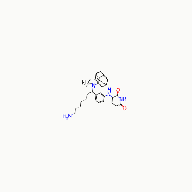 CN(C(CCCCCCN)c1cccc(NC2CCC(=O)NC2=O)c1)C12CC3CC(CC(C3)C1)C2